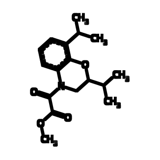 COC(=O)C(=O)N1CC(C(C)C)Oc2c(C(C)C)cccc21